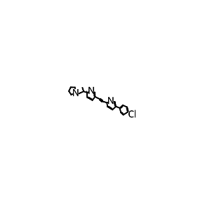 C[C](CN1CCCC1)c1ccc(C#Cc2ccc(-c3ccc(Cl)cc3)cn2)cn1